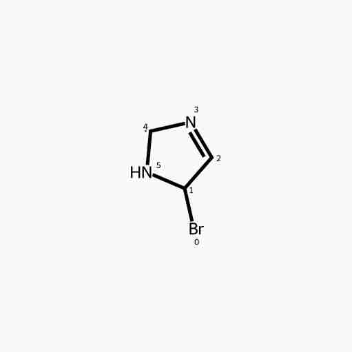 BrC1C=N[CH]N1